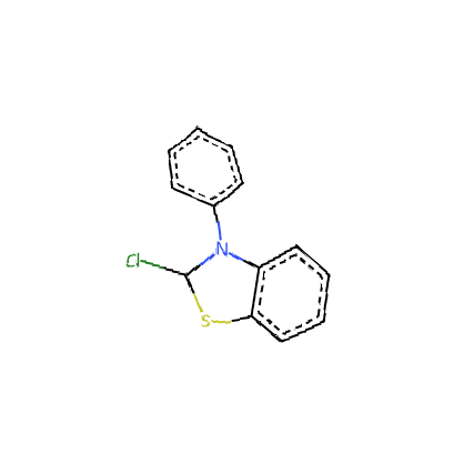 ClC1Sc2ccccc2N1c1ccccc1